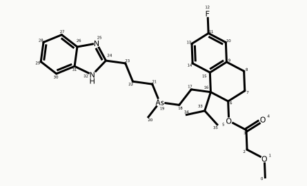 COCC(=O)OC1CCc2cc(F)ccc2C1(CC[As](C)CCCc1nc2ccccc2[nH]1)C(C)C